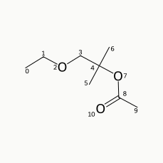 CCOCC(C)(C)OC(C)=O